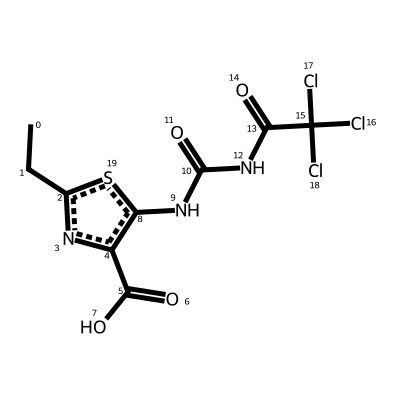 CCc1nc(C(=O)O)c(NC(=O)NC(=O)C(Cl)(Cl)Cl)s1